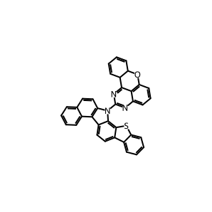 C1=CC2Oc3cccc4nc(-n5c6ccc7ccccc7c6c6ccc7c8ccccc8sc7c65)nc(c34)C2C=C1